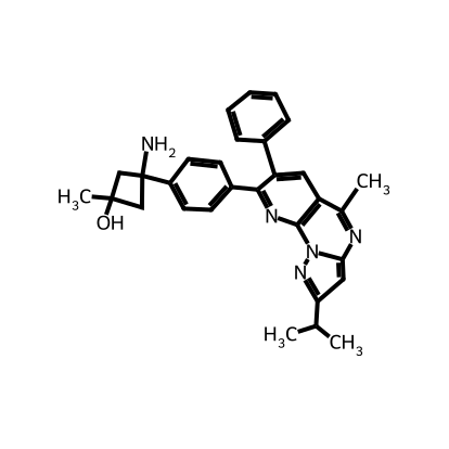 Cc1nc2cc(C(C)C)nn2c2nc(-c3ccc(C4(N)CC(C)(O)C4)cc3)c(-c3ccccc3)cc12